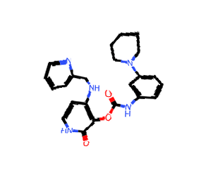 O=C(Nc1cccc(N2CCCCC2)c1)Oc1c(NCc2ccccn2)cc[nH]c1=O